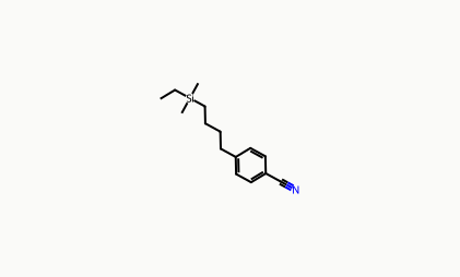 CC[Si](C)(C)CCCCc1ccc(C#N)cc1